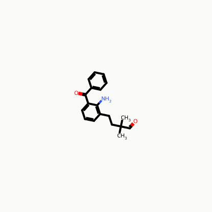 CC(C)(C=O)CCc1cccc(C(=O)c2ccccc2)c1N